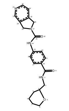 O=C(NCC1CCCCO1)c1ccc(NC(=O)N2Cc3ccncc3C2)cc1